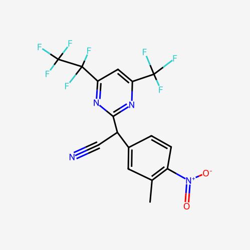 Cc1cc(C(C#N)c2nc(C(F)(F)F)cc(C(F)(F)C(F)(F)F)n2)ccc1[N+](=O)[O-]